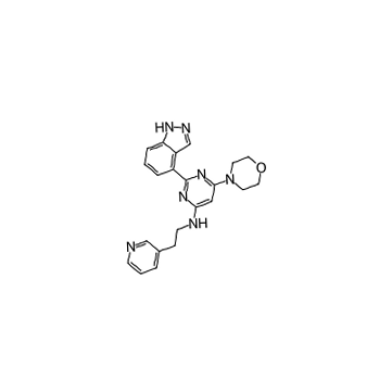 c1cncc(CCNc2cc(N3CCOCC3)nc(-c3cccc4[nH]ncc34)n2)c1